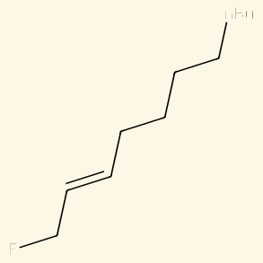 CCCCCCCC/C=C/CF